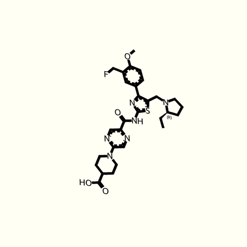 CC[C@@H]1CCCN1Cc1sc(NC(=O)c2cnc(N3CCC(C(=O)O)CC3)cn2)nc1-c1ccc(OC)c(CF)c1